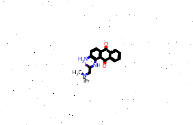 CC(C)N(C)CC(I)Nc1c(N)ccc2c1C(=O)c1ccccc1C2=O